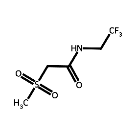 CS(=O)(=O)CC(=O)NCC(F)(F)F